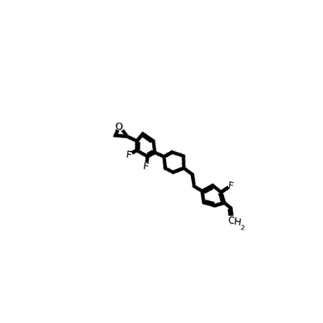 C=Cc1ccc(CCC2CCC(c3ccc(C4CO4)c(F)c3F)CC2)cc1F